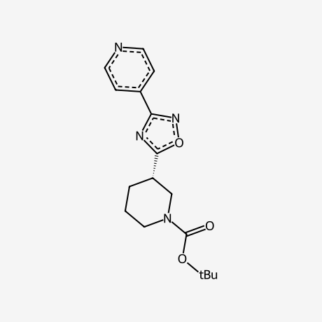 CC(C)(C)OC(=O)N1CCC[C@H](c2nc(-c3ccncc3)no2)C1